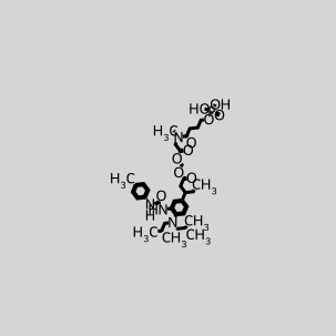 CCC(CC(=O)OCOC(=O)CN(C)C(=O)CCCOP(=O)(O)O)c1ccc(N(CC(C)C)CC(C)C)c(NC(=O)Nc2ccc(C)cc2)c1